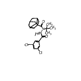 CC(C)(C)N(NC(=O)c1cc(Cl)cc(Cl)c1)C(=O)C12CC3CC(CC(C3)C1)C2